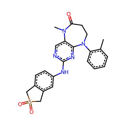 Cc1ccccc1N1CCC(=O)N(C)c2cnc(Nc3ccc4c(c3)CS(=O)(=O)C4)nc21